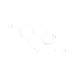 CCOC(=O)c1noc(-c2ccc(Cl)cc2Cl)c1C#N